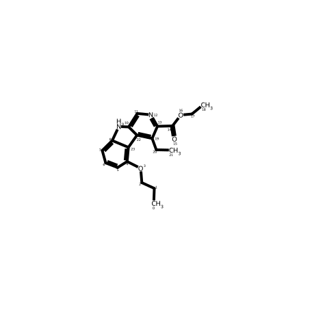 CCCOc1cccc2[nH]c3cnc(C(=O)OCC)c(CC)c3c12